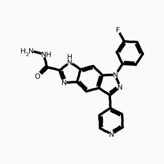 NNC(=O)c1nc2cc3c(-c4ccncc4)nn(-c4cccc(F)c4)c3cc2[nH]1